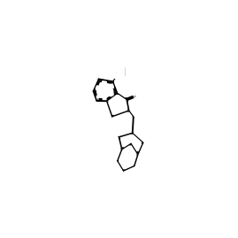 O=C1c2c(Cl)cccc2CC1CC1CC2CCCC(C2)C1